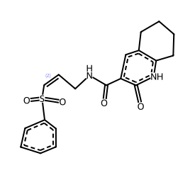 O=C(NC/C=C\S(=O)(=O)c1ccccc1)c1cc2c([nH]c1=O)CCCC2